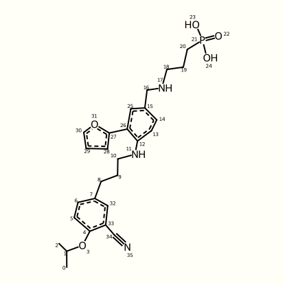 CC(C)Oc1ccc(CCCNc2ccc(CNCCCP(=O)(O)O)cc2-c2ccco2)cc1C#N